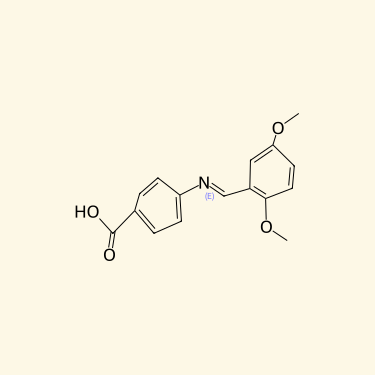 COc1ccc(OC)c(/C=N/c2ccc(C(=O)O)cc2)c1